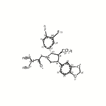 CCCCN(CCCC)C(=O)CN1C[C@H](c2ccc3c(c2)OCO3)[C@H](C(=O)O)[C@H]1c1ccc(F)c(F)c1